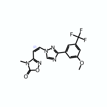 COc1cc(-c2ncn(/C=C\c3noc(=O)n3C)n2)cc(C(F)(F)F)c1